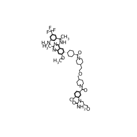 COc1cc2nc(C)nc(N[C@H](C)c3cc(N)cc(C(F)(F)F)c3)c2cc1[C@H]1CC[C@H](C(=O)N2CCC(CCOCC3CCN(C(=O)c4ccc(Cl)c(N(CCC=O)C(N)=O)c4)CC3)CC2)CC1